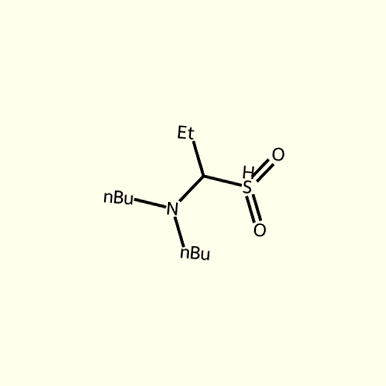 [CH2]CC(N(CCCC)CCCC)[SH](=O)=O